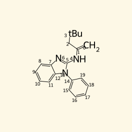 C=C(CC(C)(C)C)Nc1nc2ccccc2n1-c1ccccc1